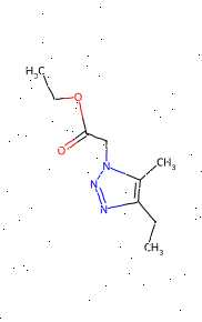 CCOC(=O)Cn1nnc(CC)c1C